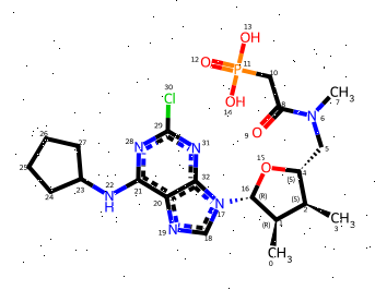 C[C@@H]1[C@H](C)[C@@H](CN(C)C(=O)CP(=O)(O)O)O[C@H]1n1cnc2c(NC3CCCC3)nc(Cl)nc21